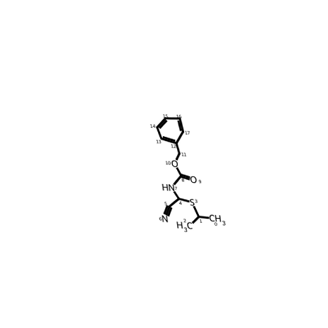 CC(C)SC(C#N)NC(=O)OCc1ccccc1